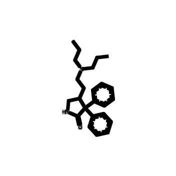 CCCN(CCC)CCC1CNC(=O)C1(c1ccccc1)c1ccccc1